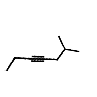 [CH2]CC#CCC(C)C